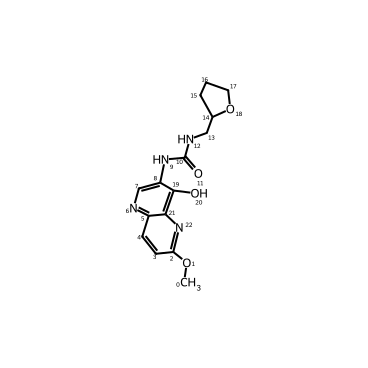 COc1ccc2ncc(NC(=O)NCC3CCCO3)c(O)c2n1